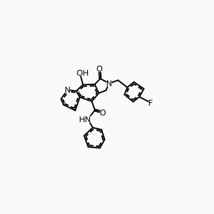 O=C(Nc1ccccc1)c1c2c(c(O)c3ncccc13)C(=O)N(Cc1ccc(F)cc1)C2